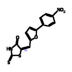 O=C1NC(=S)S/C1=C/c1ccc(-c2ccc([N+](=O)[O-])cc2)o1